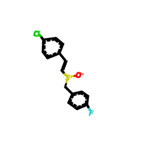 [O-][S+](C=Cc1ccc(Cl)cc1)Cc1ccc(F)cc1